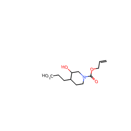 C=CCOC(=O)N1CCC(CCC(=O)O)C(O)C1